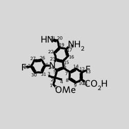 COCC(C)(C)c1c(-c2ccc(C(=O)O)c(F)c2)c2cc(N)c(C=N)cc2n1-c1ccc(F)cc1